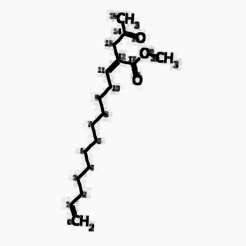 C=CCCCCCCCCCC=C(CC(C)=O)C(=O)OC